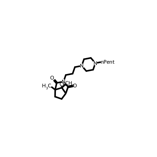 CCCCCN1CCN(CCCN2C(=O)C3CCC(C)(C2=O)C3(C)C)CC1